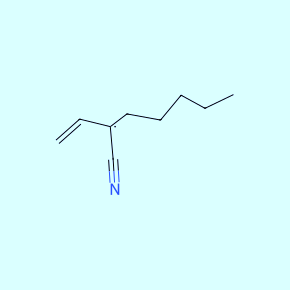 C=C[C](C#N)CCCCC